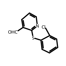 O=Cc1cccnc1Sc1ccccc1Cl